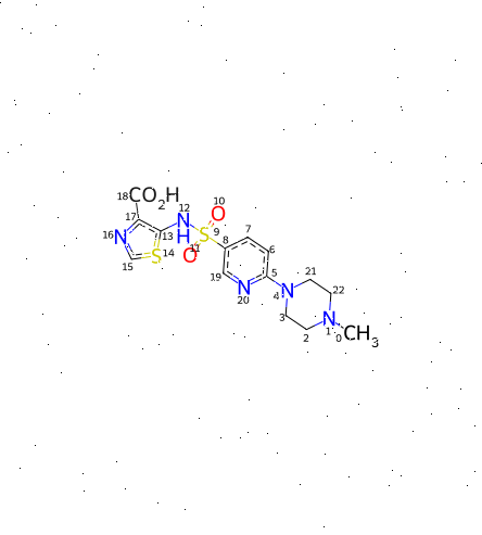 CN1CCN(c2ccc(S(=O)(=O)Nc3scnc3C(=O)O)cn2)CC1